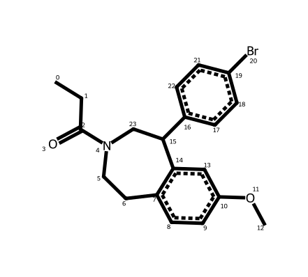 CCC(=O)N1CCc2ccc(OC)cc2C(c2ccc(Br)cc2)C1